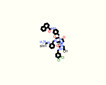 C#CCN(C(=O)NCc1ccc(Cl)c(Cl)c1)N1CC(=O)N2[C@@H](Cc3ccc(NC(=O)c4cccc5ccccc45)cc3)C(=O)N(Cc3ccccc3/N=C(/N)SC)C[C@@H]21